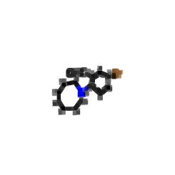 O=Cc1cc(Br)ccc1N1CCCCCCC1